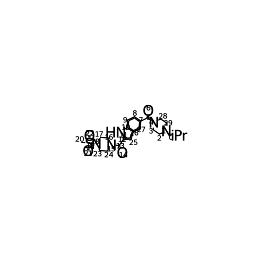 CC(C)N1CCN(C(=O)c2ccc3[nH]c(C(=O)N4CCN(S(C)(=O)=O)CC4)cc3c2)CC1